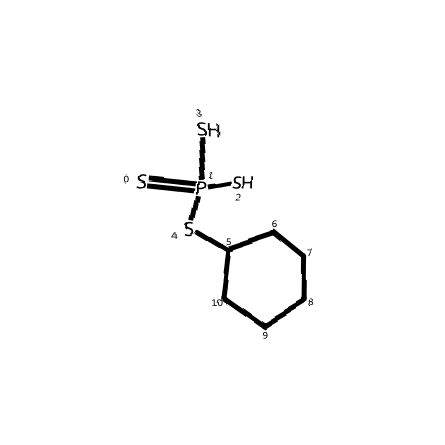 S=P(S)(S)SC1CCCCC1